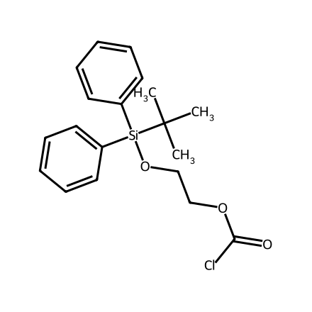 CC(C)(C)[Si](OCCOC(=O)Cl)(c1ccccc1)c1ccccc1